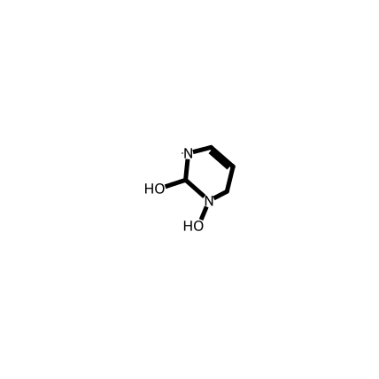 OC1[N]C=CCN1O